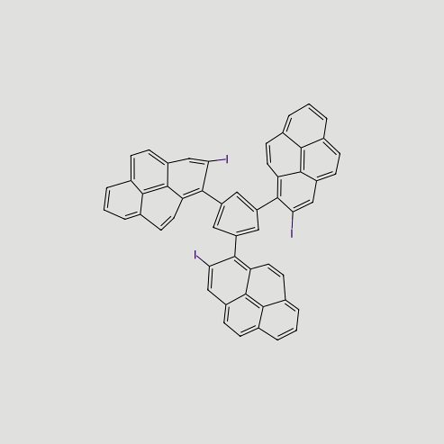 Ic1cc2ccc3cccc4ccc(c1-c1cc(-c5c(I)cc6ccc7cccc8ccc5c6c78)cc(-c5c(I)cc6ccc7cccc8ccc5c6c78)c1)c2c34